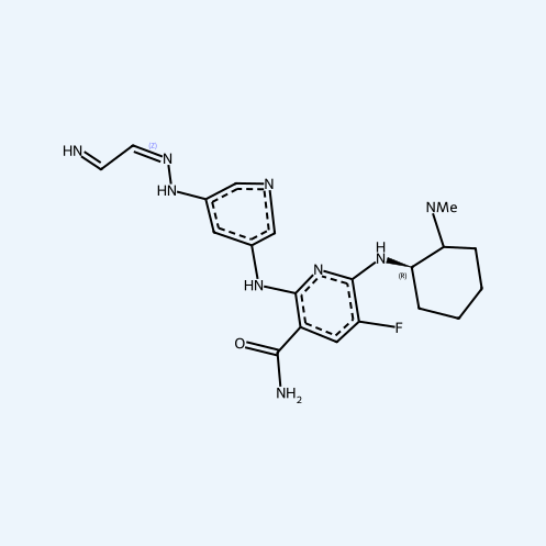 CNC1CCCC[C@H]1Nc1nc(Nc2cncc(N/N=C\C=N)c2)c(C(N)=O)cc1F